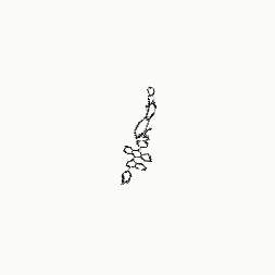 c1ccc(-c2ccc(-c3c4ccccc4c(-c4ccc5sc6c(ccc7c6ccc6c8ccccc8sc67)c5c4)c4ccccc34)c3ccccc23)cc1